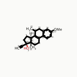 C#C[C@]1(O)CC[C@H]2C3=C(CC[C@@]21C)c1ccc(OC)cc1CC3C